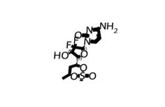 CCCC(OS(C)(=O)=O)[C@H]1O[C@@H](n2ccc(N)nc2=O)C(F)(F)[C@@H]1O